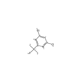 CCc1cc(Cl)nc(C(C)(C)F)n1